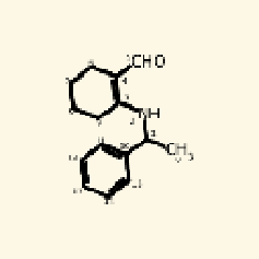 CC(NC1=C(C=O)CCCC1)c1ccccc1